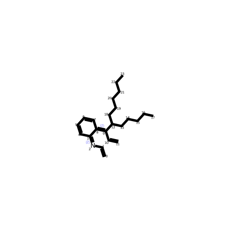 C=C/N=C1/C=CC=C/C1=C(/C=C)C(CCCCC)CCCCCC